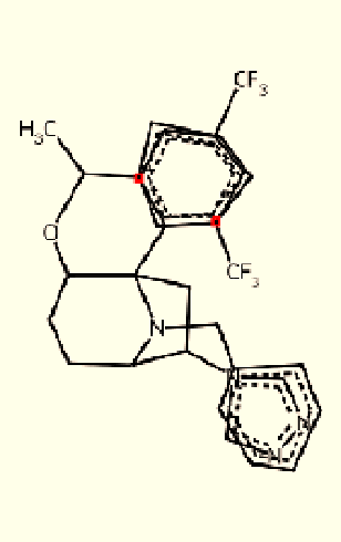 CC(OC1CCC2C(n3cnnc3)CC1(c1ccccc1)N2Cc1ccccc1)c1cc(C(F)(F)F)cc(C(F)(F)F)c1